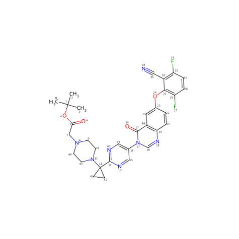 CC(C)(C)OC(=O)CN1CCN(C2(c3ncc(-n4cnc5ccc(Oc6c(F)ccc(F)c6C#N)cc5c4=O)cn3)CC2)CC1